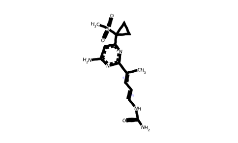 C/C(=C\C=C\NC(N)=O)c1nc(N)cc(C2(S(C)(=O)=O)CC2)n1